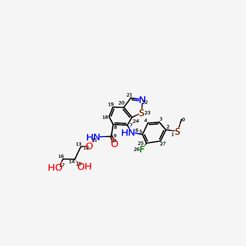 CSc1ccc(Nc2c(C(=O)NOC[C@H](O)CO)ccc3cnsc23)c(F)c1